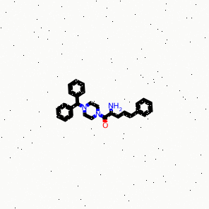 NC(CC=Cc1ccccc1)C(=O)N1CCN(C(c2ccccc2)c2ccccc2)CC1